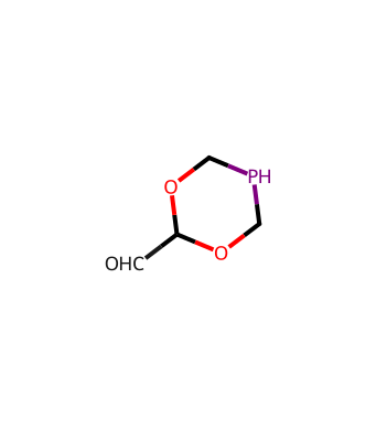 O=CC1OCPCO1